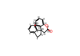 [2H]c1cccc2c1[C@@]1(CC2)CC(=O)Oc2ccccc21